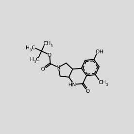 Cc1cc(O)cc2c1C(=O)NC1CN(C(=O)OC(C)(C)C)CC21